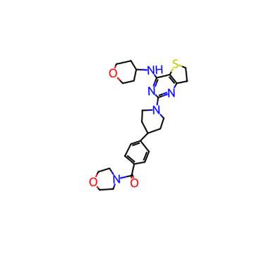 O=C(c1ccc(C2CCN(c3nc4c(c(NC5CCOCC5)n3)SCC4)CC2)cc1)N1CCOCC1